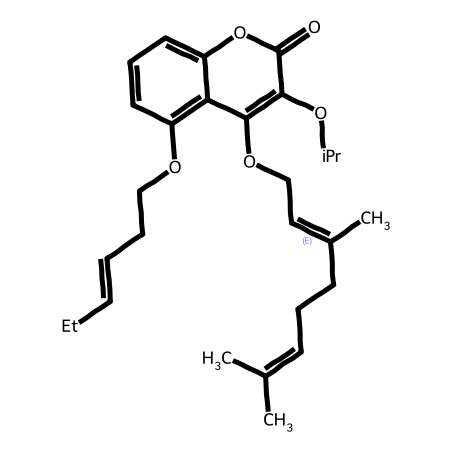 CCC=CCCOc1cccc2oc(=O)c(OC(C)C)c(OC/C=C(\C)CCC=C(C)C)c12